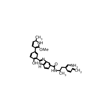 C=C/C=C\C(=C/N)CC(C)NC(=O)c1ccc2[nH]c(-c3cc(C4=C(OC)NC(C)C=C4)ccc3O)nc2c1